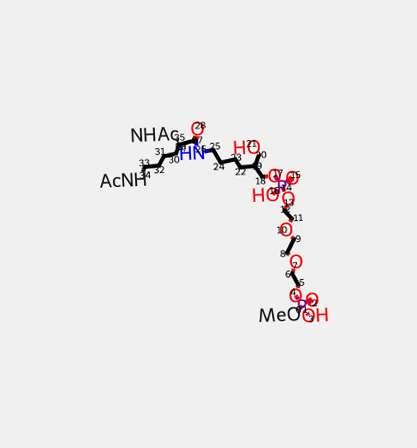 COP(=O)(O)OCCOCCOCCOP(=O)(O)OCC(CO)CCCCNC(=O)[C@H](CCCCNC(C)=O)NC(C)=O